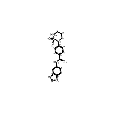 O=C(Nc1ccc2ocnc2c1)c1ccc(N2CCCNS2(=O)=O)cc1